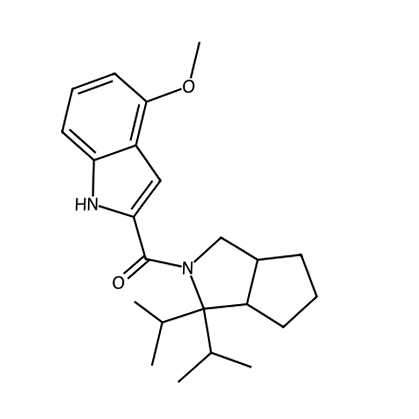 COc1cccc2[nH]c(C(=O)N3CC4CCCC4C3(C(C)C)C(C)C)cc12